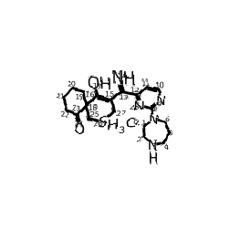 C[C@H]1CNCCCN1c1nccc(C(=N)C2=C(O)C3(CCCCC3=O)CSC2)n1